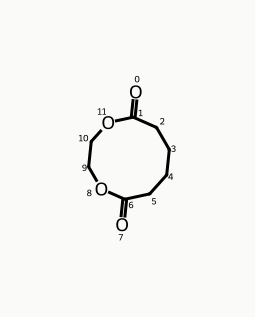 O=C1CCCCC(=O)OCCO1